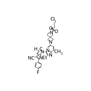 CCc1nc2c(C)cc(N3CC4(CCN(S(=O)(=O)CCCCl)C4)C3)cn2c1N(C)c1nc(-c2ccc(F)cc2)c(C#N)s1